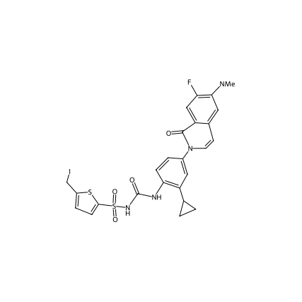 CNc1cc2ccn(-c3ccc(NC(=O)NS(=O)(=O)c4ccc(CI)s4)c(C4CC4)c3)c(=O)c2cc1F